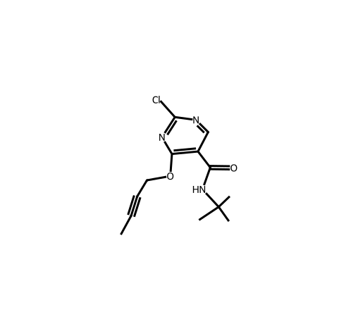 CC#CCOc1nc(Cl)ncc1C(=O)NC(C)(C)C